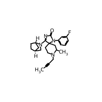 CC#CCN1CCC2(CC1C)C(N1C[C@H]3CC[C@H]1C3)=NC(=O)N2c1cccc(F)c1